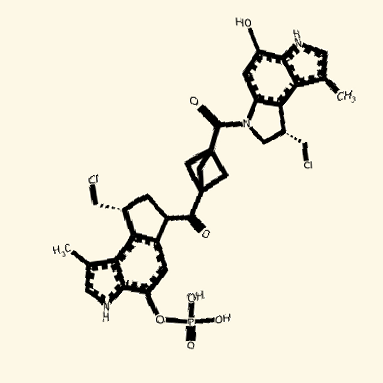 Cc1c[nH]c2c(O)cc3c(c12)[C@H](CCl)CN3C(=O)C12CC(C(=O)C3C[C@@H](CCl)c4c3cc(OP(=O)(O)O)c3[nH]cc(C)c43)(C1)C2